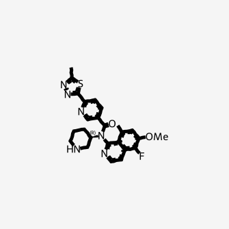 COc1cc(C)c2c(N(C(=O)c3ccc(-c4nnc(C)s4)nc3)[C@@H]3CCCNC3)nccc2c1F